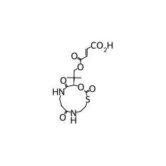 CC(C)(COC(=O)/C=C/C(=O)O)[C@H]1OC(=O)SCCNC(=O)CCNC1=O